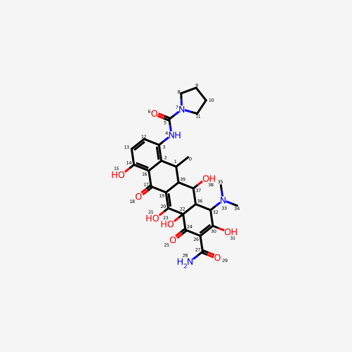 CC1c2c(NC(=O)N3CCCC3)ccc(O)c2C(=O)C2=C(O)C3(O)C(=O)C(C(N)=O)=C(O)C(N(C)C)C3C(O)C21